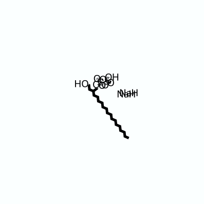 CCCCCCCCCCCCCCCCC(CCO)COS(=O)(=O)OS(=O)(=O)O.[NaH].[NaH]